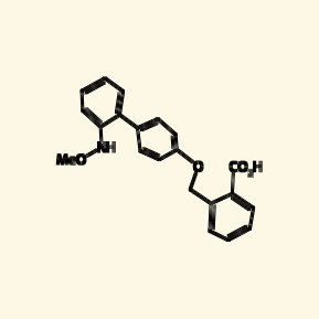 CONc1ccccc1-c1ccc(OCc2ccccc2C(=O)O)cc1